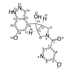 O=C(c1cncc(Cl)c1)N1C[C@@H]2[C@H](C1)[C@]2(O)c1cc(Cl)cc2[nH]ncc12